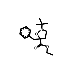 CCOC(=O)C1(Cc2ccccc2)CCN(C(C)(C)C)O1